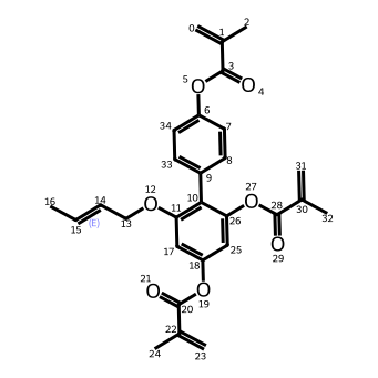 C=C(C)C(=O)Oc1ccc(-c2c(OC/C=C/C)cc(OC(=O)C(=C)C)cc2OC(=O)C(=C)C)cc1